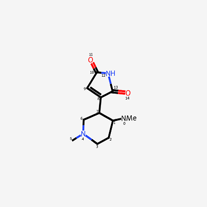 CNC1CCN(C)CC1C1=CC(=O)NC1=O